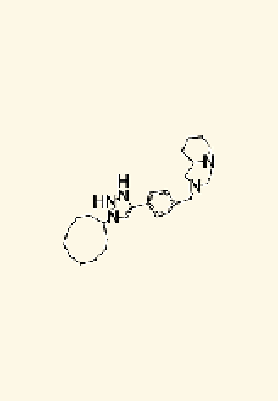 C1=C(c2ccc(CN3CCN4CCCCC4C3)cc2)NNN1C1CCCCCCCCC1